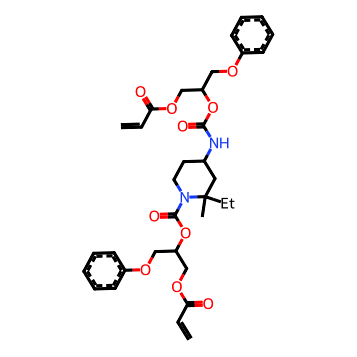 C=CC(=O)OCC(COc1ccccc1)OC(=O)NC1CCN(C(=O)OC(COC(=O)C=C)COc2ccccc2)C(C)(CC)C1